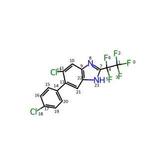 FC(F)(F)C(F)(F)c1nc2cc(Cl)c(-c3ccc(Cl)cc3)cc2[nH]1